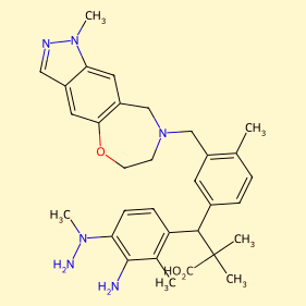 Cc1ccc(C(c2ccc(N(C)N)c(N)c2C)C(C)(C)C(=O)O)cc1CN1CCOc2cc3cnn(C)c3cc2C1